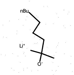 CCCCCCCC(C)(C)[O-].[Li+]